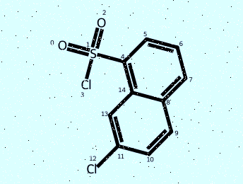 O=S(=O)(Cl)c1cccc2ccc(Cl)cc12